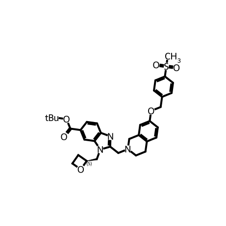 CC(C)(C)OC(=O)c1ccc2nc(CN3CCc4ccc(OCc5ccc(S(C)(=O)=O)cc5)cc4C3)n(C[C@@H]3CCO3)c2c1